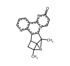 CC12CC3c4c(n5ccc(=O)nc5c5cccnc45)C4(C)N1C324